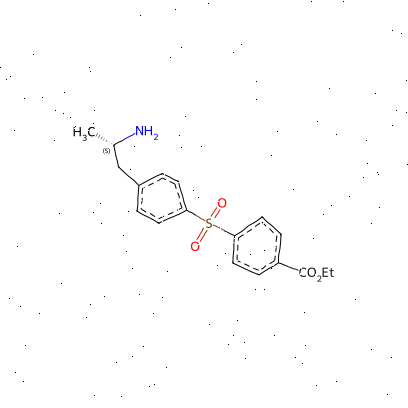 CCOC(=O)c1ccc(S(=O)(=O)c2ccc(C[C@H](C)N)cc2)cc1